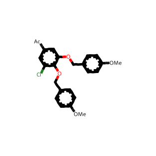 COc1ccc(COc2cc(C(C)=O)cc(Cl)c2OCc2ccc(OC)cc2)cc1